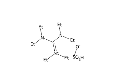 CCN(CC)C(N(CC)CC)=[N+](CC)CC.O=S(=O)([O-])O